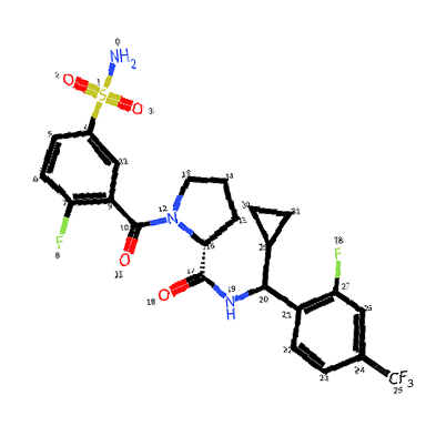 NS(=O)(=O)c1ccc(F)c(C(=O)N2CCC[C@@H]2C(=O)NC(c2ccc(C(F)(F)F)cc2F)C2CC2)c1